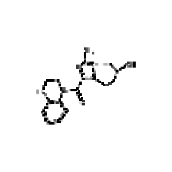 Nc1nn(C(=O)[C@@H]2CCNc3ccccc32)c2c1C[C@@H](O)CC2